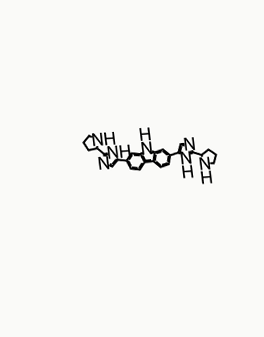 c1cc2c(cc1-c1cnc(C3CCCN3)[nH]1)[nH]c1cc(-c3cnc(C4CCCN4)[nH]3)ccc12